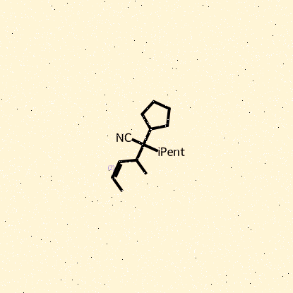 C/C=C\C(C)C(C#N)(C(C)CCC)C1CCCC1